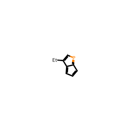 CCC1=[C]P=C2C=CC=C12